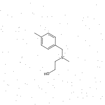 Cc1ccc(C[S+](C)CCO)cc1